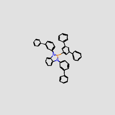 c1ccc(-c2cccc(N3c4ccccc4N(c4cccc(-c5ccccc5)c4)P3c3cc(-c4ccccc4)cc(-c4ccccc4)c3)c2)cc1